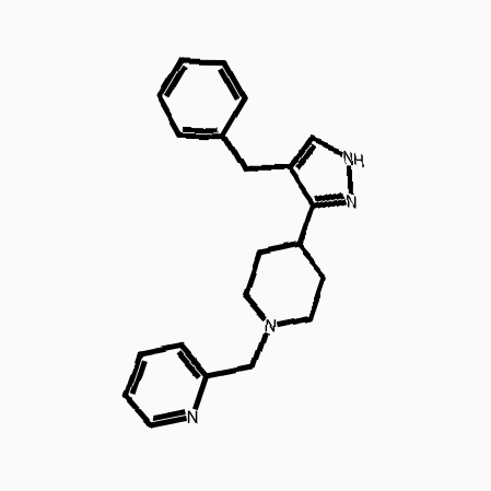 c1ccc(Cc2c[nH]nc2C2CCN(Cc3ccccn3)CC2)cc1